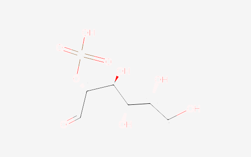 O=C[C@H](OS(=O)(=O)O)[C@@H](O)[C@@H](O)[C@H](O)CO